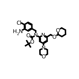 CC(C)(C)OC(=O)N(Cc1ccc(Cl)c(N)c1)c1cc(N2CCOCC2)cc(COC2CCCCO2)n1